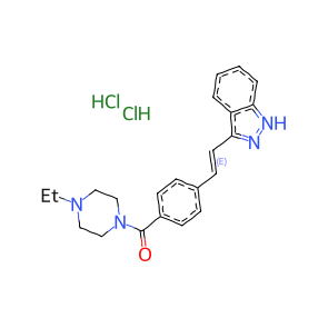 CCN1CCN(C(=O)c2ccc(/C=C/c3n[nH]c4ccccc34)cc2)CC1.Cl.Cl